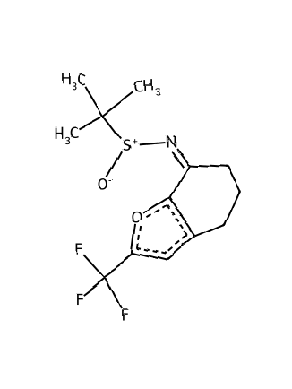 CC(C)(C)[S+]([O-])/N=C1/CCCc2cc(C(F)(F)F)oc21